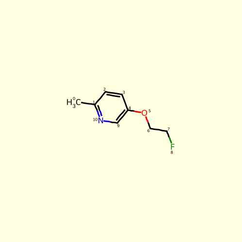 Cc1ccc(OCCF)cn1